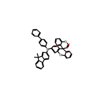 CC1(C)c2ccccc2-c2ccc(N(c3ccc(-c4ccccc4)cc3)c3ccc4c(c3)Oc3ccccc3C43c4ccccc4Oc4ccccc43)cc21